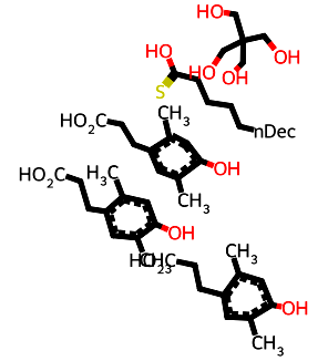 CCCCCCCCCCCCCCC(O)=S.Cc1cc(CCC(=O)O)c(C)cc1O.Cc1cc(CCC(=O)O)c(C)cc1O.Cc1cc(CCC(=O)O)c(C)cc1O.OCC(CO)(CO)CO